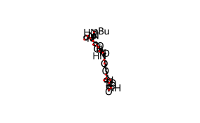 CCCCNc1ncc2c(-c3ccc(S(=O)(=O)N4CCN(C(=O)NCCCOCCCOCCCc5cccc6c5n(C)c(=O)n6C5CCC(=O)NC5=O)CC4)cc3)cn(C3CCCCC3)c2n1